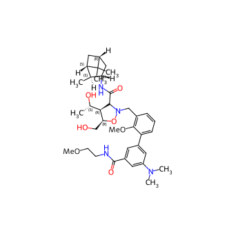 COCCNC(=O)c1cc(-c2cccc(CN3O[C@@H](CO)[C@@H]([C@H](C)O)C3C(=O)N[C@H]3C[C@H]4C[C@@H]([C@@H]3C)C4(C)C)c2OC)cc(N(C)C)c1